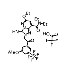 CCOc1cc(C(=O)N(CC)CC)c2nn(CC(=O)c3cc(OC)cc(S(F)(F)(F)(F)F)c3)c(=N)n2n1.O=C(O)C(F)(F)F